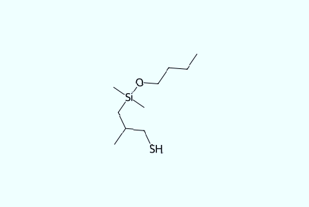 CCCCO[Si](C)(C)CC(C)CS